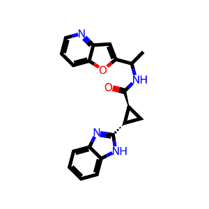 CC(NC(=O)[C@H]1C[C@@H]1c1nc2ccccc2[nH]1)c1cc2ncccc2o1